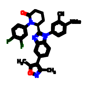 CNc1ccc(-n2c([C@@H]3CCCC(=O)N3c3ccc(F)c(F)c3)nc3cc(-c4c(C)noc4C)ccc32)cc1C#N